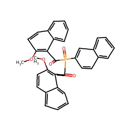 COc1ccc2ccccc2c1C(=O)P(=O)(C(=O)c1c(OC)ccc2ccccc12)c1ccc2ccccc2c1